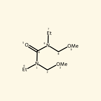 CCN(COC)C(=O)N(CC)COC